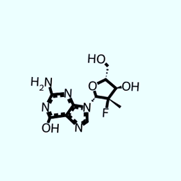 C[C@]1(F)[C@H](O)[C@@H](CO)O[C@H]1n1cnc2c(O)nc(N)nc21